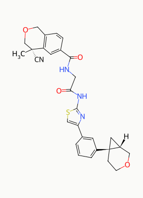 C[C@@]1(C#N)COCc2ccc(C(=O)NCC(=O)Nc3nc(-c4cccc([C@]56CCOC[C@H]5C6)c4)cs3)cc21